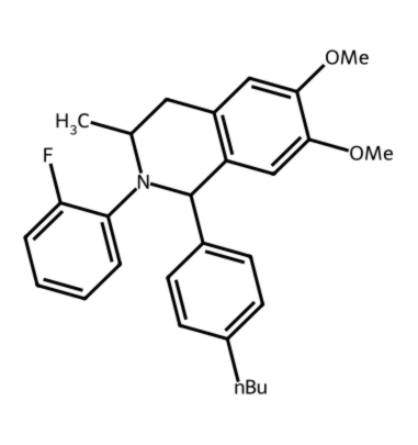 CCCCc1ccc(C2c3cc(OC)c(OC)cc3CC(C)N2c2ccccc2F)cc1